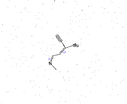 C#C/C(=C\C=N/C)C(C)(C)C